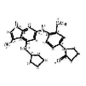 COc1cc(N2CCCC2=O)ccc1Nc1cc(NC2CCCC2)c2c(C#N)c[nH]c2n1